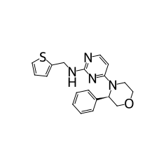 c1ccc([C@@H]2COCCN2c2ccnc(NCc3cccs3)n2)cc1